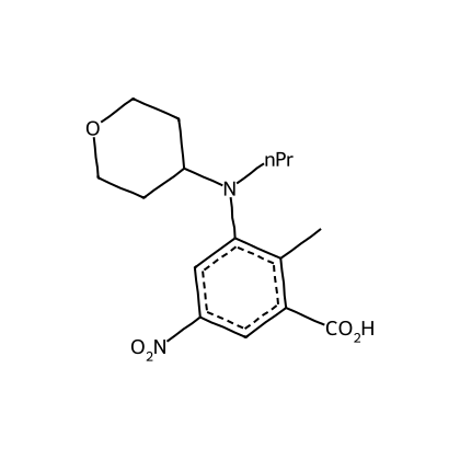 CCCN(c1cc([N+](=O)[O-])cc(C(=O)O)c1C)C1CCOCC1